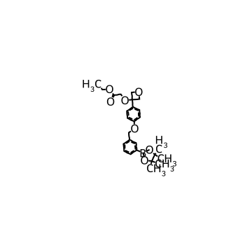 CCOC(=O)COC1(c2ccc(OCc3cccc(B4OC(C)(C)C(C)(C)O4)c3)cc2)COC1